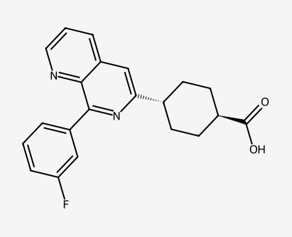 O=C(O)[C@H]1CC[C@H](c2cc3cccnc3c(-c3cccc(F)c3)n2)CC1